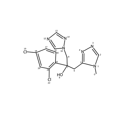 Cn1cnnc1CC(O)(Cn1cncn1)c1ccc(Cl)cc1Cl